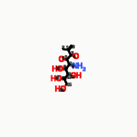 C=C(C)C(=O)C(=O)[C@@H](N)[C@@H](O)[C@H](O)[C@H](O)CO